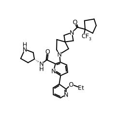 CCOc1ncccc1-c1ccc(N2CCC3(CN(C(=O)C4(C(F)(F)F)CCCC4)C3)C2)c(C(=O)N[C@@H]2CCNC2)n1